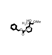 COC[C@](C)(O)[C@H]1CCCN(C(=O)OCc2ccccc2)C1